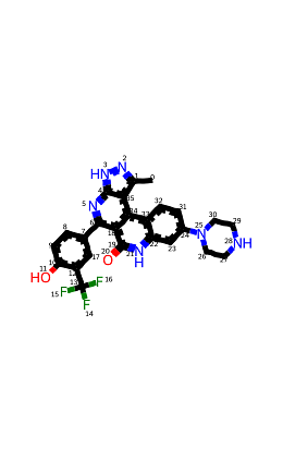 Cc1n[nH]c2nc(-c3ccc(O)c(C(F)(F)F)c3)c3c(=O)[nH]c4cc(N5CCNCC5)ccc4c3c12